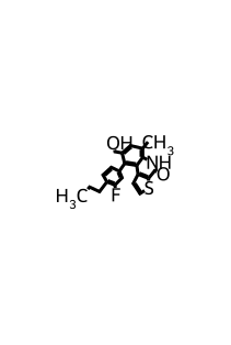 CCCc1ccc(-c2c(CO)cc(C)c3[nH]c(=O)c4sccc4c23)cc1F